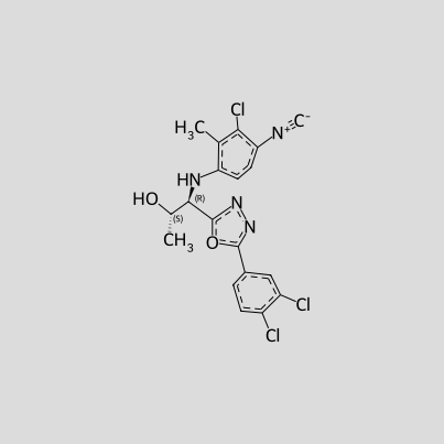 [C-]#[N+]c1ccc(N[C@@H](c2nnc(-c3ccc(Cl)c(Cl)c3)o2)[C@H](C)O)c(C)c1Cl